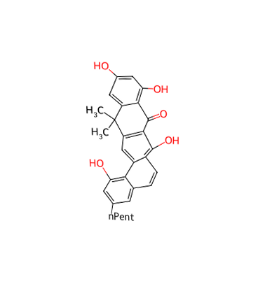 CCCCCc1cc(O)c2c(ccc3c(O)c4c(cc32)C(C)(C)c2cc(O)cc(O)c2C4=O)c1